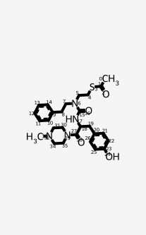 CC(=O)SCCN(CCc1ccccc1)C(=O)NC(Cc1ccc(O)cc1)C(=O)N1CCN(C)CC1